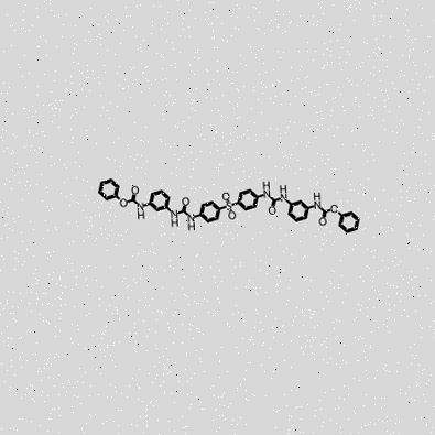 O=C(Nc1ccc(S(=O)(=O)c2ccc(NC(=O)Nc3cccc(NC(=O)Oc4ccccc4)c3)cc2)cc1)Nc1cccc(NC(=O)Oc2ccccc2)c1